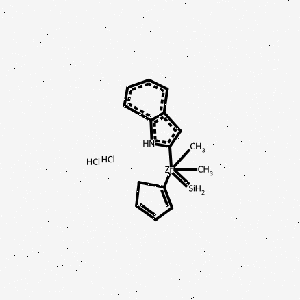 Cl.Cl.[CH3][Zr]([CH3])(=[SiH2])([C]1=CC=CC1)[c]1cc2ccccc2[nH]1